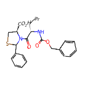 CC(C)C[C@H](NC(=O)OCc1ccccc1)C(=O)N1C(c2ccccc2)SC[C@H]1C(=O)O